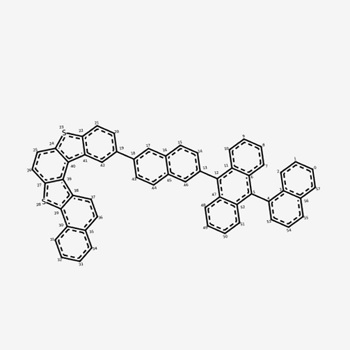 c1ccc2c(-c3c4ccccc4c(-c4ccc5cc(-c6ccc7sc8ccc9sc%10c%11ccccc%11ccc%10c9c8c7c6)ccc5c4)c4ccccc34)cccc2c1